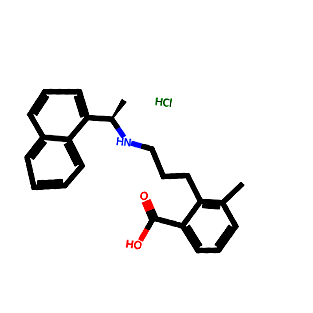 Cc1cccc(C(=O)O)c1CCCN[C@H](C)c1cccc2ccccc12.Cl